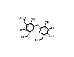 O=S(=O)(O)O[C@@H]1[C@@H](O)[C@@H](O[C@H]2O[C@H](CO)[C@@H](O)[C@H](O)[C@H]2O)O[C@H](CO)[C@H]1O